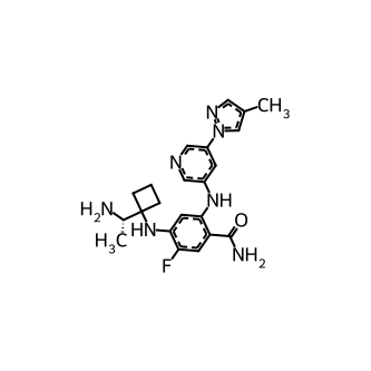 Cc1cnn(-c2cncc(Nc3cc(NC4([C@H](C)N)CCC4)c(F)cc3C(N)=O)c2)c1